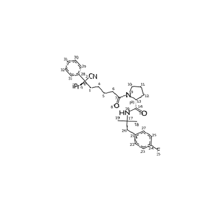 CC(C)[C@@](C#N)(CCCCC(=O)N1CCC[C@@H]1C(=O)NC(C)(C)Cc1ccc(F)cc1)c1ccccc1